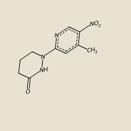 Cc1cc(N2CCCC(=O)N2)ncc1[N+](=O)[O-]